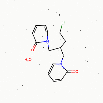 O.O=c1ccccn1CC(CCCl)Cn1ccccc1=O